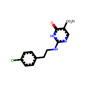 CCOC(=O)c1cnc(NCCc2ccc(Cl)cc2)[nH]c1=O